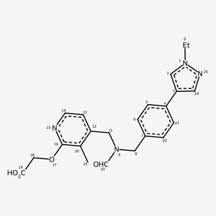 CCn1cc(-c2ccc(CN(C=O)Cc3ccnc(OCC(=O)O)c3C)cc2)cn1